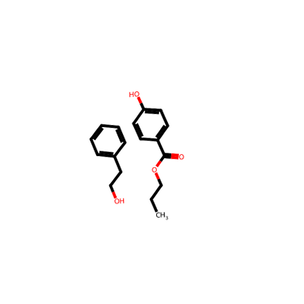 CCCOC(=O)c1ccc(O)cc1.OCCc1ccccc1